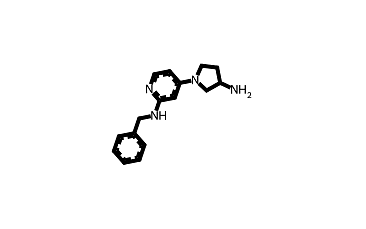 NC1CCN(c2ccnc(NCc3ccccc3)c2)C1